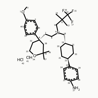 COc1ccc([C@]2(CCN(CC(C)(C)C(F)(F)F)C[C@H]3CC[C@H](c4ccc(N)cc4)CC3)CCOC(C)(C)C2)cc1.Cl.Cl